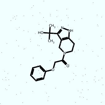 CC(C)(O)c1n[nH]c2c1CN(C(=O)COc1ccccc1)CC2